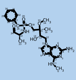 CNc1nc(N)nc2c1ncn2C[C@H](O)[C@@](C)(COP(=O)(N[C@@H](C)C=O)Oc1ccccc1)OC